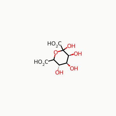 O=C(O)C1OC(O)(C(=O)O)[C@@H](O)[C@@H](O)[C@@H]1O